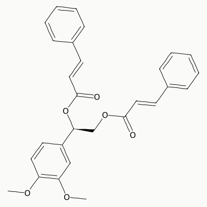 COc1ccc([C@H](COC(=O)C=Cc2ccccc2)OC(=O)/C=C/c2ccccc2)cc1OC